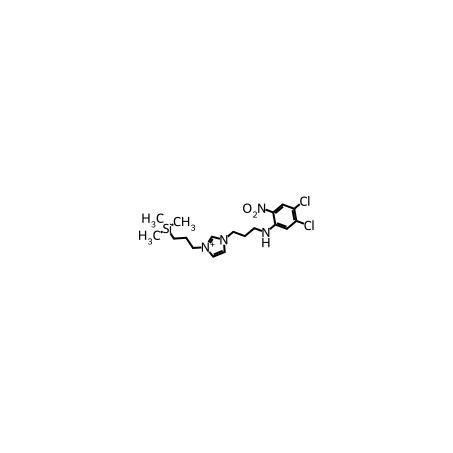 C[Si](C)(C)CCC[n+]1ccn(CCCNc2cc(Cl)c(Cl)cc2[N+](=O)[O-])c1